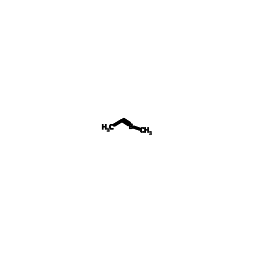 C/B=C/C